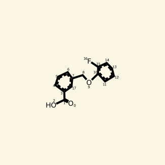 O=C(O)c1cccc(COc2ccccc2F)c1